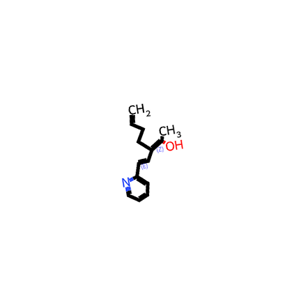 C=CCCC(/C=C/c1ccccn1)=C(\C)O